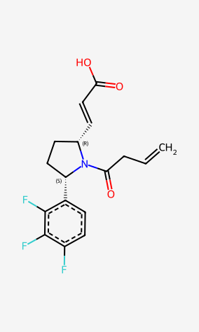 C=CCC(=O)N1[C@@H](C=CC(=O)O)CC[C@H]1c1ccc(F)c(F)c1F